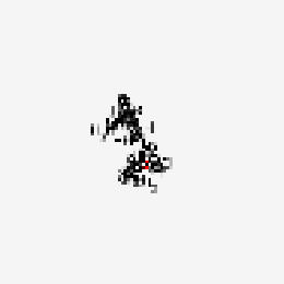 CC[C@@]1(O)C(=O)OCc2c1cc1n(c2=O)Cc2c-1nc1cc(F)c(C)c3c1c2[C@@H](NC(=O)CCN(CCNC(=O)CNC(=O)[C@H](Cc1ccccc1)NC(=O)CNC(=O)CN)CC(=O)O)CC3